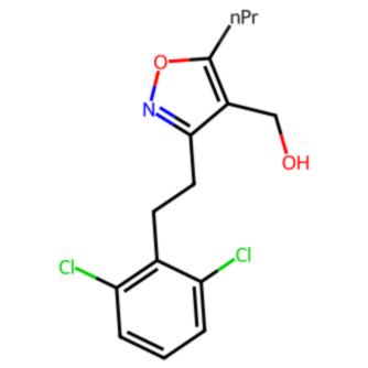 CCCc1onc(CCc2c(Cl)cccc2Cl)c1CO